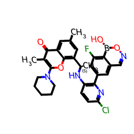 Cc1cc([C@H](C)Nc2ccc(Cl)nc2-c2cc(F)c3c(c2)C=NOB3O)c2oc(N3CCCCC3)c(C)c(=O)c2c1